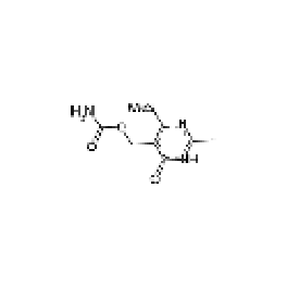 CSc1nc(C)[nH]c(=O)c1COC(N)=O